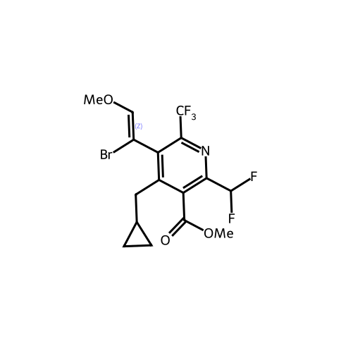 CO/C=C(\Br)c1c(C(F)(F)F)nc(C(F)F)c(C(=O)OC)c1CC1CC1